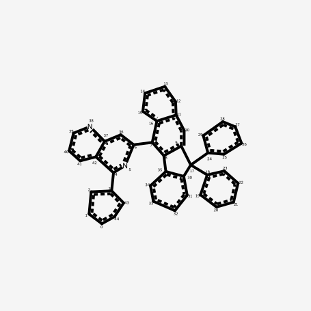 c1ccc(-c2nc(-c3c4c(cc5ccccc35)C(c3ccccc3)(c3ccccc3)c3ccccc3-4)cc3ncccc23)cc1